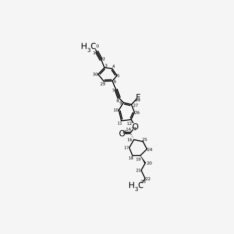 CC#Cc1ccc(C#Cc2ccc(OC(=O)[C@H]3CC[C@H](CCCC)CC3)cc2F)cc1